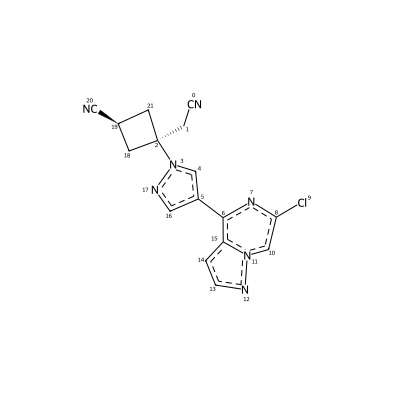 N#CC[C@]1(n2cc(-c3nc(Cl)cn4nccc34)cn2)C[C@@H](C#N)C1